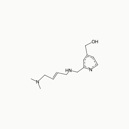 CN(C)CC=CCNCc1cc(CO)ccn1